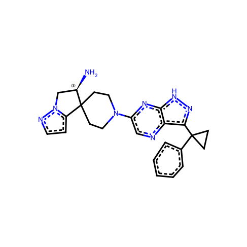 N[C@@H]1Cn2nccc2C12CCN(c1cnc3c(C4(c5ccccc5)CC4)n[nH]c3n1)CC2